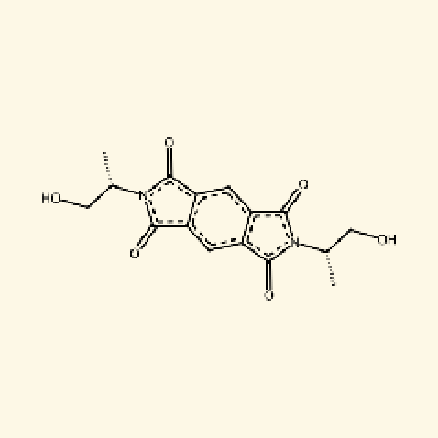 C[C@@H](CO)n1c(=O)c2cc3c(=O)n([C@@H](C)CO)c(=O)c3cc2c1=O